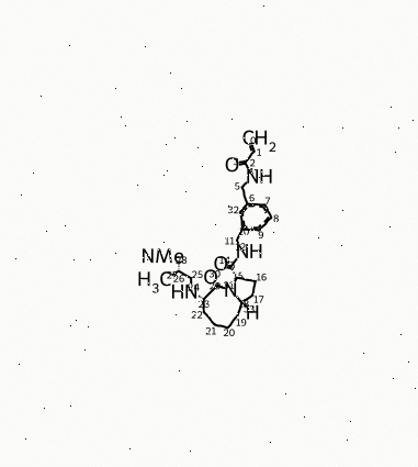 C=CC(=O)NCc1cccc(CNC(=O)[C@@H]2CC[C@@H]3CCCC[C@H](NC[C@H](C)NC)C(=O)N32)c1